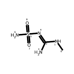 CN/C(N)=N/S(N)(=O)=O